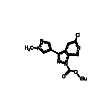 Cn1cc(-c2nn(C(=O)OC(C)(C)C)c3cnc(Cl)cc23)cn1